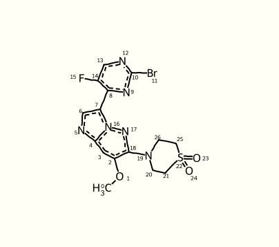 COc1cc2ncc(-c3nc(Br)ncc3F)n2nc1N1CCS(=O)(=O)CC1